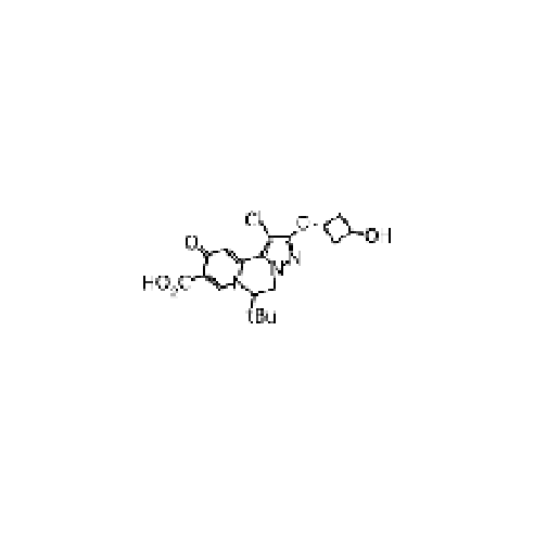 CC(C)(C)[C@@H]1Cn2nc(O[C@H]3C[C@H](O)C3)c(Cl)c2-c2cc(=O)c(C(=O)O)cn21